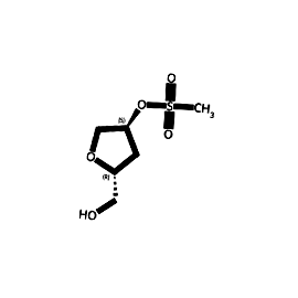 CS(=O)(=O)O[C@@H]1CO[C@@H](CO)C1